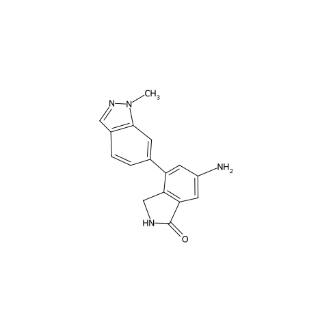 Cn1ncc2ccc(-c3cc(N)cc4c3CNC4=O)cc21